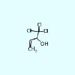 C=CC(O)C(Cl)(Cl)Cl